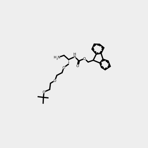 CC(C)(C)OCCOCCOC[C@H](CN)NC(=O)OCC1c2ccccc2-c2ccccc21